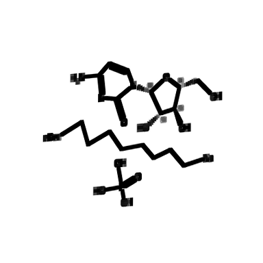 CCCCCCCCCCCCCCCCC[CH2][Na].Nc1ccn([C@@H]2O[C@H](CO)[C@@H](O)[C@@H]2O)c(=O)n1.O=P(O)(O)O